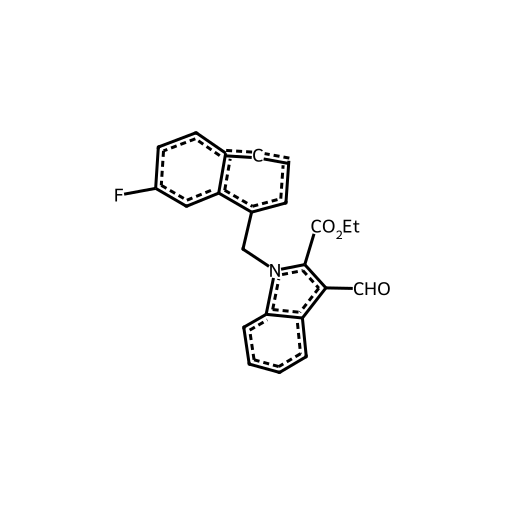 CCOC(=O)c1c(C=O)c2ccccc2n1Cc1cccc2ccc(F)cc12